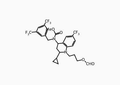 COC(=O)N(Cc1cc(C(F)(F)F)cc(C(F)(F)F)c1)C1CC(C2CC2)N(CCCOC=O)c2ccc(C(F)(F)F)cc21